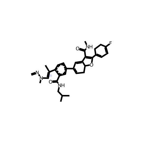 C=NN(C)/C=C(\C)c1ccc(C2=CCC3OC(C4=CC=C(F)CC4)=C(C(=O)NC)C3=C2)cc1C(=O)NCC(C)C